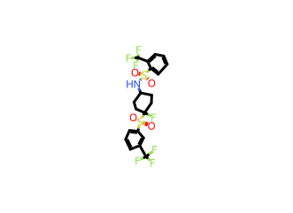 O=S(=O)(NC1CCC(F)(S(=O)(=O)c2cccc(C(F)(F)F)c2)CC1)c1ccccc1C(F)(F)F